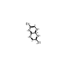 CCc1cnc2nc(CC)cnc2n1